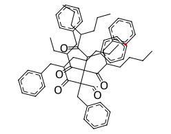 CCCCCC(Cc1ccccc1)C(=O)C([C]=O)(Cc1ccccc1)C(C(=O)C(CC)Cc1ccccc1)(C(=O)C(CCCC)Cc1ccccc1)C(C(=O)C(CCC)CCC)c1ccccc1